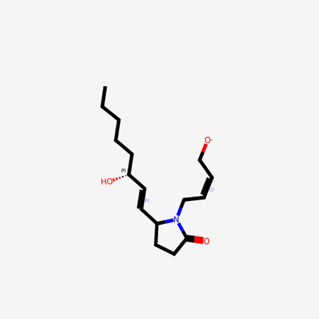 CCCCC[C@@H](O)/C=C/C1CCC(=O)N1C/C=C\C[O]